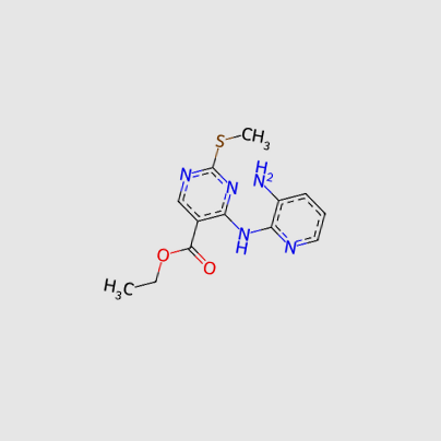 CCOC(=O)c1cnc(SC)nc1Nc1ncccc1N